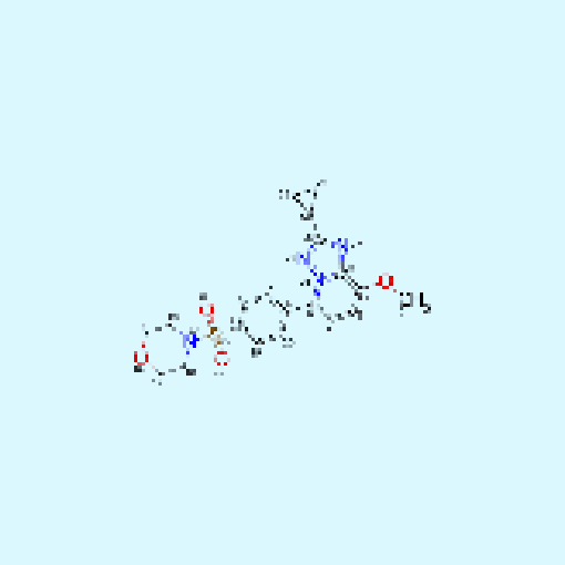 COc1ccc(-c2ccc(S(=O)(=O)N3CCOCC3)cc2)n2nc(C3CC3)nc12